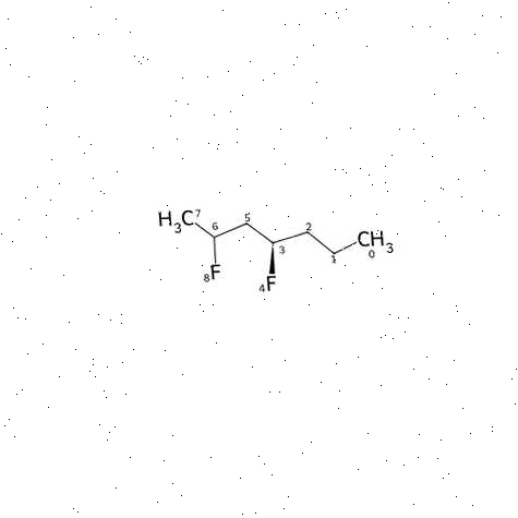 CCC[C@@H](F)CC(C)F